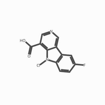 O=C(O)c1cncc2c3cc(F)ccc3n(Cl)c12